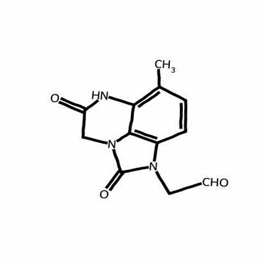 Cc1ccc2c3c1NC(=O)Cn3c(=O)n2CC=O